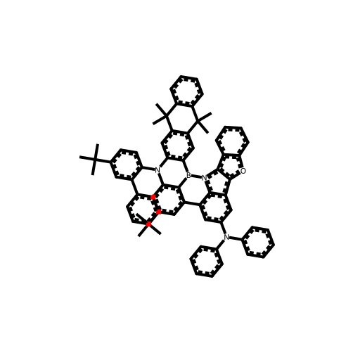 CC(C)(C)c1ccc(N2c3cc4c(cc3B3c5c(cc(C(C)(C)C)cc52)-c2cc(N(c5ccccc5)c5ccccc5)cc5c6oc7ccccc7c6n3c25)C(C)(C)c2ccccc2C4(C)C)c(-c2ccccc2)c1